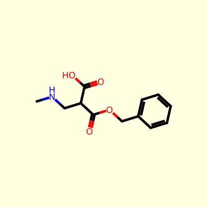 CNCC(C(=O)O)C(=O)OCc1ccccc1